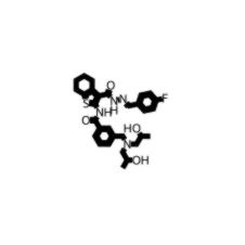 CC(O)CN(Cc1cccc(C(=O)Nc2sc3c(c2C(=O)N/N=C/c2ccc(F)cc2)CCCC3)c1)CC(C)O